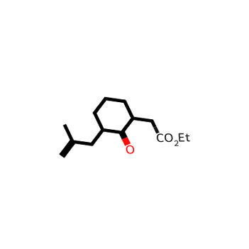 C=C(C)CC1CCCC(CC(=O)OCC)C1=O